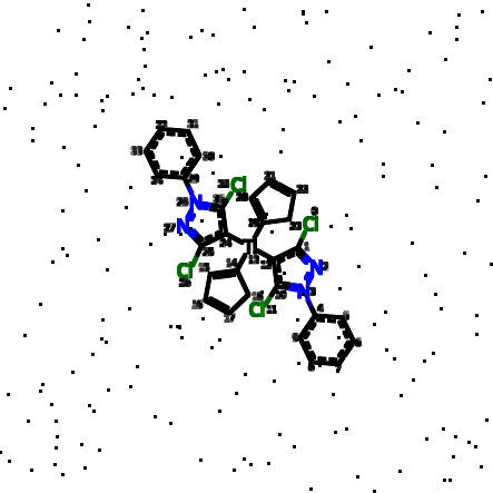 Clc1nn(-c2ccccc2)c(Cl)[c]1[Ti]([C]1=CC=CC1)([C]1=CC=CC1)[c]1c(Cl)nn(-c2ccccc2)c1Cl